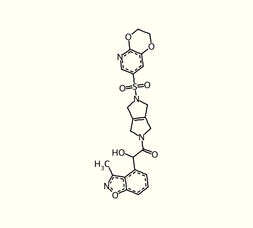 Cc1noc2cccc(C(O)C(=O)N3CC4=C(C3)CN(S(=O)(=O)c3cnc5c(c3)OCCO5)C4)c12